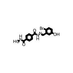 O=C(NO)c1ccc(C(=O)N/N=C/c2cc(O)ccc2Br)cc1